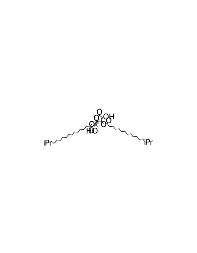 CC(C)CCCCCCCCCCCCC(=O)OC1=C(O)C(=O)O[C@@H]1[C@H](CO)OC(=O)CCCCCCCCCCCCC(C)C